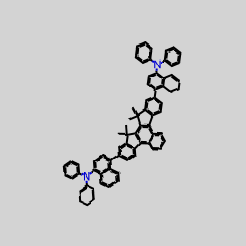 CC1(C)c2cc(-c3ccc(N(c4ccccc4)c4ccccc4)c4c3CCC=C4)ccc2-c2c1c1c(c3ccccc23)-c2ccc(-c3ccc(N(C4=CCCC=C4)c4ccccc4)c4ccccc34)cc2C1(C)C